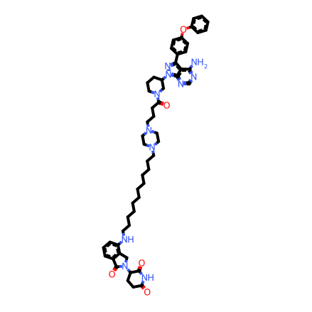 Nc1ncnc2c1c(-c1ccc(Oc3ccccc3)cc1)nn2C1CCCN(C(=O)CCCN2CCN(CCCCCCCCCCCCNc3cccc4c3CN(C3CCC(=O)NC3=O)C4=O)CC2)C1